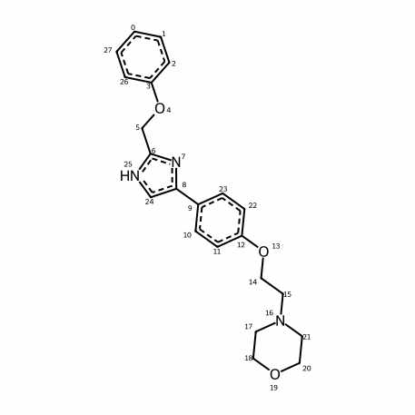 c1ccc(OCc2nc(-c3ccc(OCCN4CCOCC4)cc3)c[nH]2)cc1